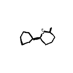 CC1CCCC(=C2CCCCC2)S1